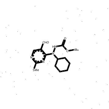 CSc1ncc(C=O)c(N(NC(=O)OC(C)(C)C)C2CCCCC2)n1